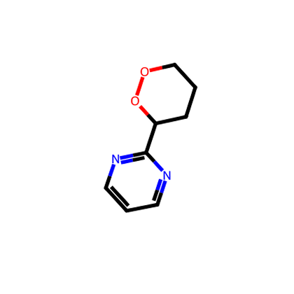 c1cnc(C2CCCOO2)nc1